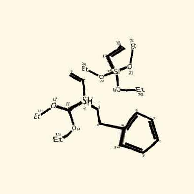 C=C[SiH](CCc1ccccc1)C(OCC)OCC.C=C[Si](OCC)(OCC)OCC